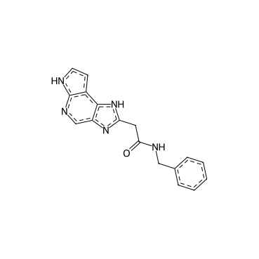 O=C(Cc1nc2cnc3[nH]ccc3c2[nH]1)NCc1ccccc1